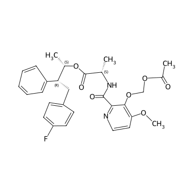 COc1ccnc(C(=O)N[C@@H](C)C(=O)O[C@@H](C)[C@H](Cc2ccc(F)cc2)c2ccccc2)c1OCOC(C)=O